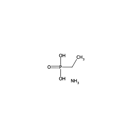 CCP(=O)(O)O.N